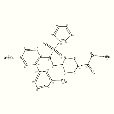 COc1ccc(N(CC2CCN(C(=O)OC(C)(C)C)CC2)S(=O)(=O)c2ccccc2)c(-c2cccc(P)c2)c1